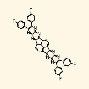 Fc1ccc(-c2nc3nc4c(nc3nc2-c2ccc(F)cc2)-c2ccc3c5c(ccc-4c25)-c2nc4nc(-c5ccc(F)cc5)c(-c5ccc(F)cc5)nc4nc2-3)cc1